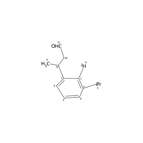 [2H]c1c(C(C)C)cccc1C(C)CC=O